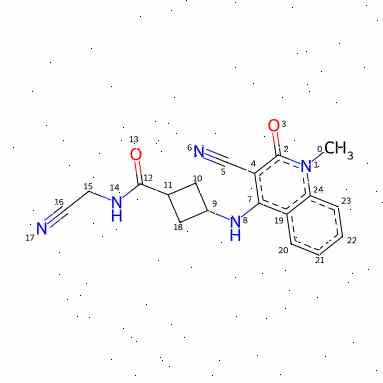 Cn1c(=O)c(C#N)c(NC2CC(C(=O)NCC#N)C2)c2ccccc21